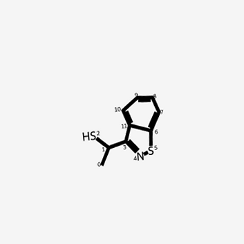 CC(S)c1nsc2ccccc12